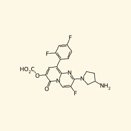 NC1CCN(c2nc3c(-c4ccc(F)cc4F)cc(OC(=O)O)c(=O)n3cc2F)C1